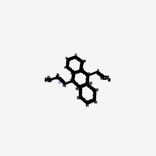 C=Cc1c2ccccc2c(/C=N/O)c2ccccc12